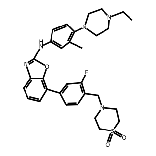 CCN1CCN(c2ccc(Nc3nc4cccc(-c5ccc(CN6CCS(=O)(=O)CC6)c(F)c5)c4o3)cc2C)CC1